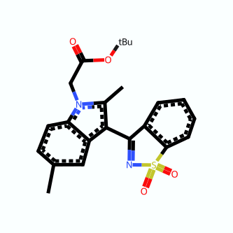 Cc1ccc2c(c1)c(C1=NS(=O)(=O)c3ccccc31)c(C)n2CC(=O)OC(C)(C)C